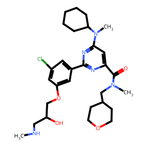 CNCC(O)COc1cc(Cl)cc(-c2nc(C(=O)N(C)CC3CCOCC3)cc(N(C)C3CCCCC3)n2)c1